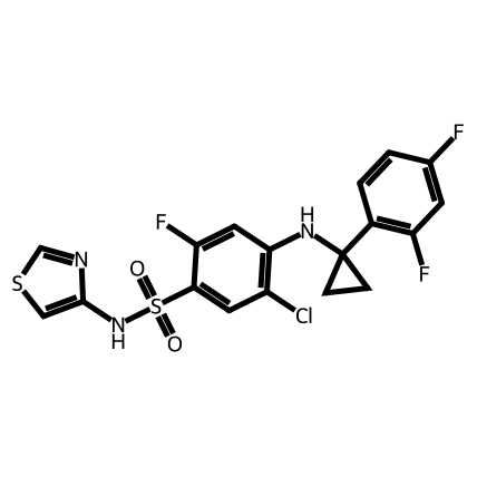 O=S(=O)(Nc1cscn1)c1cc(Cl)c(NC2(c3ccc(F)cc3F)CC2)cc1F